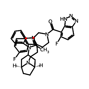 Cc1nc2ccccc2n1C1C[C@H]2CC[C@@H](C1)N2CCC1(c2cccc(F)c2)CCN(C(=O)c2c(F)ccc3nn[nH]c23)CC1